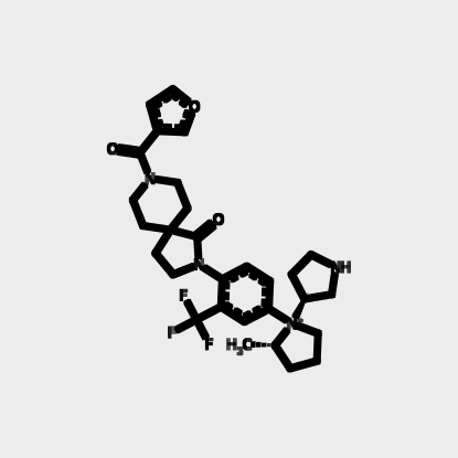 C[C@H]1CCC[N+]1(c1ccc(N2CCC3(CCN(C(=O)c4ccoc4)CC3)C2=O)c(C(F)(F)F)c1)[C@H]1CCNC1